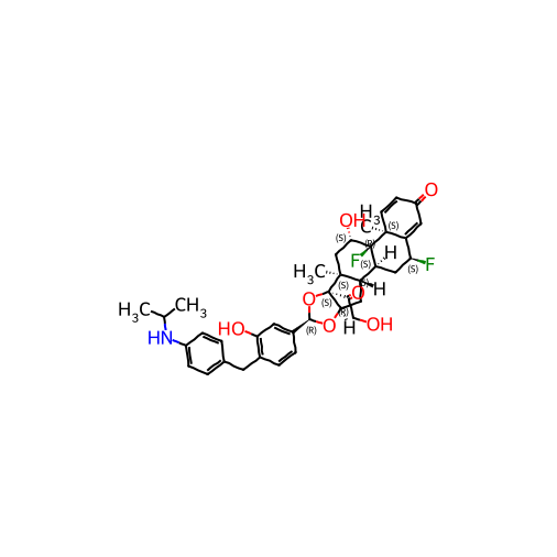 CC(C)Nc1ccc(Cc2ccc([C@@H]3O[C@@H]4C[C@H]5[C@@H]6C[C@H](F)C7=CC(=O)C=C[C@]7(C)[C@@]6(F)[C@@H](O)C[C@]5(C)[C@]4(C(=O)CO)O3)cc2O)cc1